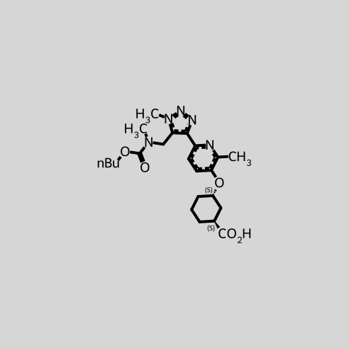 CCCCOC(=O)N(C)Cc1c(-c2ccc(O[C@H]3CCC[C@H](C(=O)O)C3)c(C)n2)nnn1C